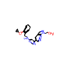 OCCn1ncc2cc(-c3cc(NCCc4ccccc4OC4CC4)ncn3)cnc21